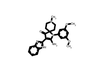 COc1cc(OC)cc(N2C(N)=C(c3nc4ccccc4[nH]3)C(=O)C23CCN(C)CC3)c1